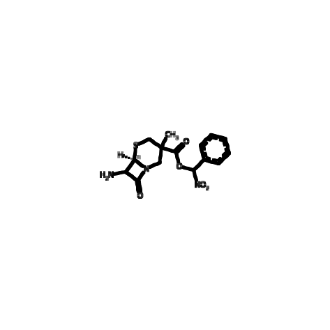 CC1(C(=O)OC(c2ccccc2)[N+](=O)[O-])CS[C@@H]2C(N)C(=O)N2C1